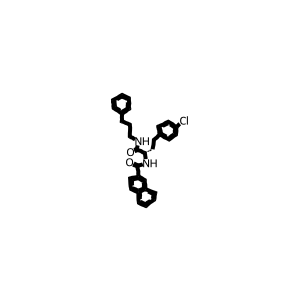 O=C(N[C@@H](CCc1ccc(Cl)cc1)C(=O)NCCCc1ccccc1)c1ccc2ccccc2c1